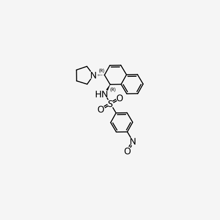 O=Nc1ccc(S(=O)(=O)N[C@@H]2c3ccccc3C=C[C@H]2N2CCCC2)cc1